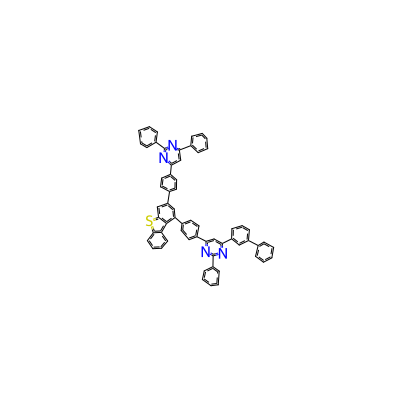 c1ccc(-c2cccc(-c3cc(-c4ccc(-c5cc(-c6ccc(-c7cc(-c8ccccc8)nc(-c8ccccc8)n7)cc6)cc6sc7ccccc7c56)cc4)nc(-c4ccccc4)n3)c2)cc1